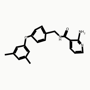 Cc1cc(C)cc(Oc2ccc(CNC(=O)c3cccnc3N)cc2)c1